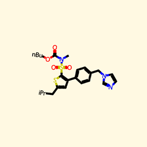 CCCCOC(=O)N(C)S(=O)(=O)c1sc(CC(C)C)cc1-c1ccc(Cn2ccnc2)cc1